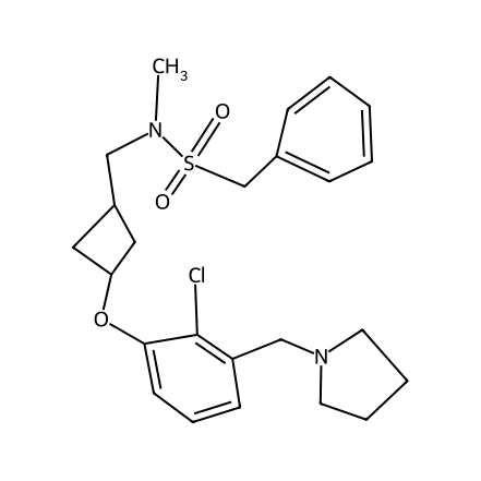 CN(CC1CC(Oc2cccc(CN3CCCC3)c2Cl)C1)S(=O)(=O)Cc1ccccc1